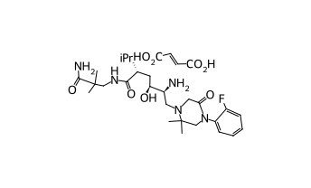 CC(C)[C@H](C[C@H](O)[C@@H](N)CN1CC(=O)N(c2ccccc2F)CC1(C)C)C(=O)NCC(C)(C)C(N)=O.O=C(O)/C=C/C(=O)O